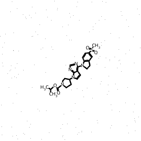 CC(C)OC(=O)N1CCC(n2ccc3c(N4CCc5cc(S(C)(=O)=O)ccc54)ncnc32)CC1